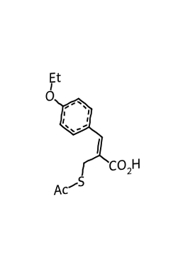 CCOc1ccc(C=C(CSC(C)=O)C(=O)O)cc1